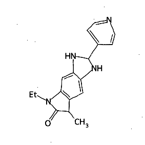 CCN1C(=O)C(C)c2cc3c(cc21)NC(c1ccncc1)N3